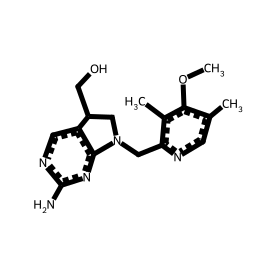 COc1c(C)cnc(CN2CC(CO)c3cnc(N)nc32)c1C